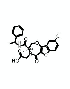 CC(NC(=O)[C@@]1(C)COc2c(oc3ccc(Cl)cc23)C(=O)N1CC(=O)O)c1ccccc1